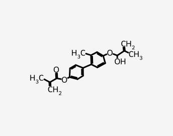 C=C(C)C(=O)Oc1ccc(-c2ccc(OC(O)C(=C)C)cc2C)cc1